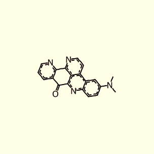 CN(C)c1ccc2nc3c4c(nccc4c2c1)-c1ncccc1C3=O